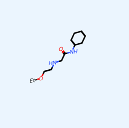 CCOCCNCC(=O)NC1CCCCC1